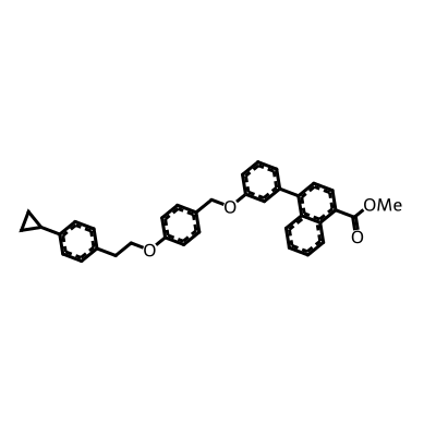 COC(=O)c1ccc(-c2cccc(OCc3ccc(OCCc4ccc(C5CC5)cc4)cc3)c2)c2ccccc12